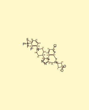 O=S1(=O)CC(N2Cc3cc(Cl)ccc3-n3c(nnc3C3CCN(c4cccc(C(F)(F)F)c4F)CC3)C2)C1